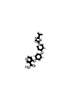 CC(C)c1noc(N2CCC(O[C@H]3CC[C@H](Oc4ccncc4C(=O)O)CC3)CC2)n1